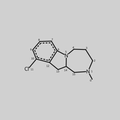 CN1CCCN2c3cccc(Cl)c3CC2C1